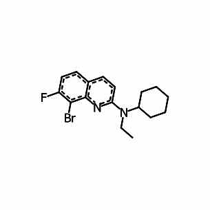 CCN(c1ccc2ccc(F)c(Br)c2n1)C1CCCCC1